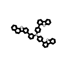 c1cc(-c2ccc3oc4c5ccccc5ccc4c3c2)cc(N(c2ccc(-c3cccc4c3oc3ccccc34)cc2)c2ccc(-c3cccc4c3oc3ccccc34)cc2)c1